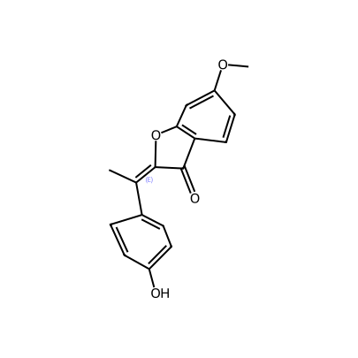 COc1ccc2c(c1)O/C(=C(\C)c1ccc(O)cc1)C2=O